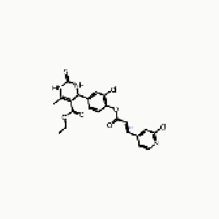 CCOC(=O)C1=C(C)NC(=S)NC1c1ccc(OC(=O)/C=C/c2ccnc(Cl)c2)c(Cl)c1